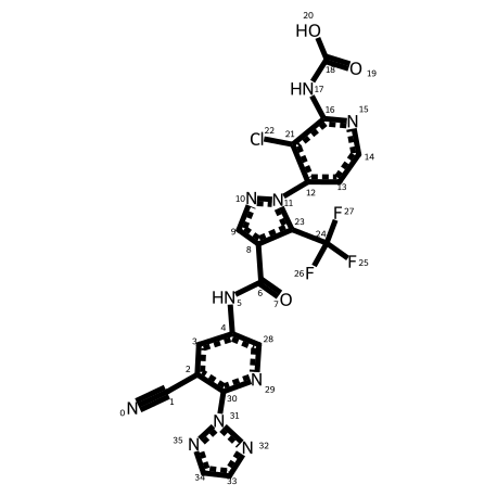 N#Cc1cc(NC(=O)c2cnn(-c3ccnc(NC(=O)O)c3Cl)c2C(F)(F)F)cnc1-n1nccn1